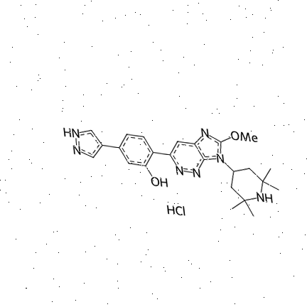 COc1nc2cc(-c3ccc(-c4cn[nH]c4)cc3O)nnc2n1C1CC(C)(C)NC(C)(C)C1.Cl